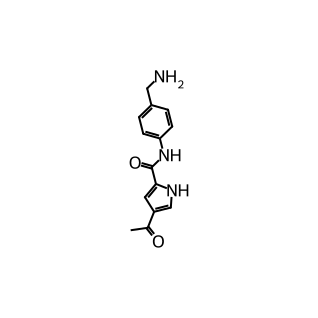 CC(=O)c1c[nH]c(C(=O)Nc2ccc(CN)cc2)c1